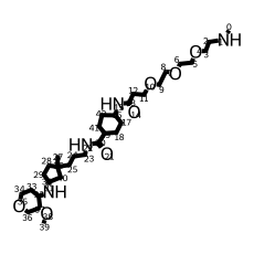 CNCCOCCOCCOCCC(=O)NC1CCC(C(=O)NCCCC2(C)CCC(NC3CCOCC3OC)C2)CC1